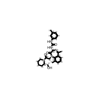 CC1=N[C@@H](NC(=O)Nc2cccc(C)c2)C(=O)N(CC(=O)N2CCCC[C@H]2CO)c2c(C)cccc21